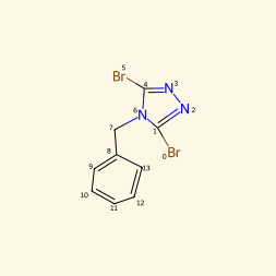 Brc1nnc(Br)n1Cc1ccccc1